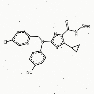 CSNC(=O)c1nc(N(Cc2ccc(Cl)cn2)c2ccc(C#N)cc2)sc1C1CC1